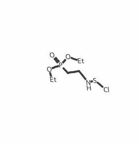 CCOP(=O)(CCNSCl)OCC